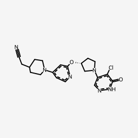 N#CCC1CCN(c2ccnc(O[C@@H]3CCN(c4cn[nH]c(=O)c4Cl)C3)c2)CC1